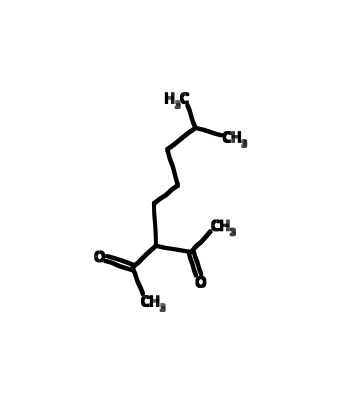 CC(=O)C(CCCC(C)C)C(C)=O